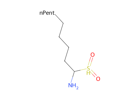 CCCCCCCCCC(N)[SH](=O)=O